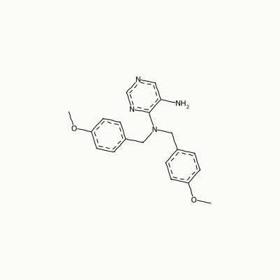 COc1ccc(CN(Cc2ccc(OC)cc2)c2ncncc2N)cc1